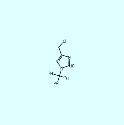 Cl.[2H]C([2H])([2H])n1cnc(CCl)n1